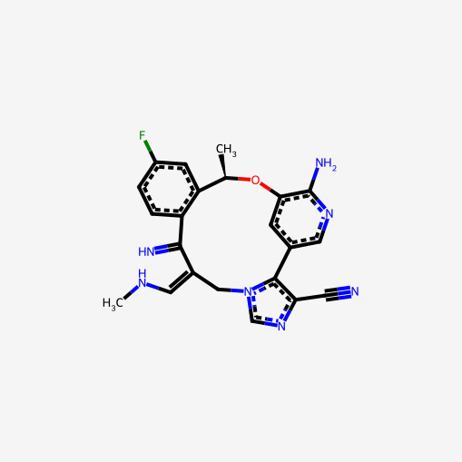 CN/C=C1/Cn2cnc(C#N)c2-c2cnc(N)c(c2)O[C@H](C)c2cc(F)ccc2C1=N